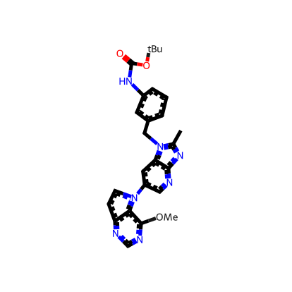 COc1ncnc2ccn(-c3cnc4nc(C)n(Cc5cccc(NC(=O)OC(C)(C)C)c5)c4c3)c12